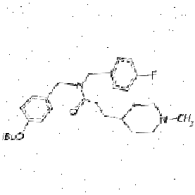 CC(C)COc1ccc(CN(Cc2ccc(F)cc2)C(=O)CCC2CCN(C)CC2)cc1